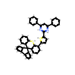 c1ccc(-c2cc(-c3ccccc3)nc(-c3ccc(-c4cccc5c4Sc4ccccc4C54c5ccccc5-c5ccccc54)s3)n2)cc1